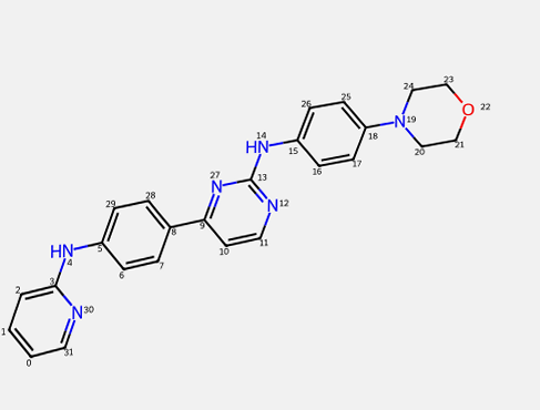 c1ccc(Nc2ccc(-c3ccnc(Nc4ccc(N5CCOCC5)cc4)n3)cc2)nc1